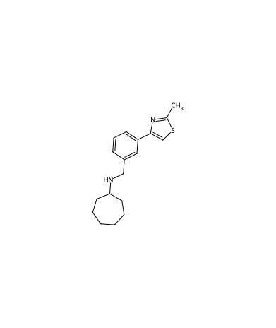 Cc1nc(-c2cccc(CNC3CCCCCC3)c2)cs1